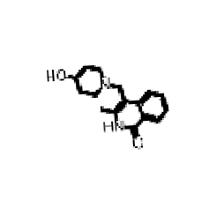 Cc1[nH]c(=O)c2ccccc2c1CN1CCC(O)CC1